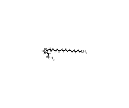 CCCCCCCCCCCCCCCC=CC1=NCCN1CCC